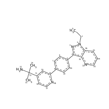 CCn1nc(-c2ccc(-c3cc(C(C)(C)N)ccn3)cc2)c2n[c]ccc21